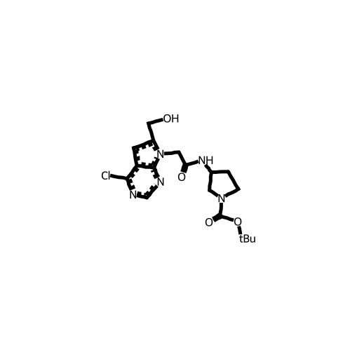 CC(C)(C)OC(=O)N1CCC(NC(=O)Cn2c(CO)cc3c(Cl)ncnc32)C1